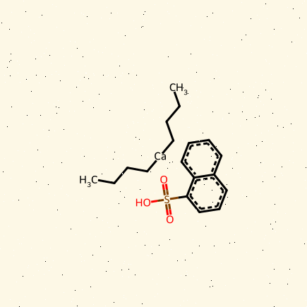 CCC[CH2][Ca][CH2]CCC.O=S(=O)(O)c1cccc2ccccc12